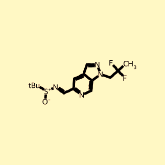 CC(F)(F)Cn1ncc2cc(C=N[S+]([O-])C(C)(C)C)ncc21